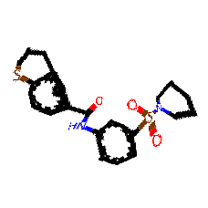 O=C(Nc1cccc(S(=O)(=O)N2CCCCC2)c1)c1ccc2c(c1)CCCS2